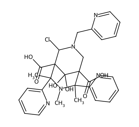 CN1C(C)(c2ccccn2)C2(C(=O)O)CN(Cc3ccccn3)C(Cl)C(C(=O)O)(C1(C)c1ccccn1)C2(O)O